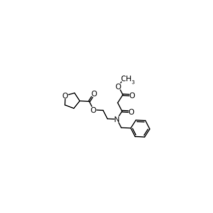 COC(=O)CC(=O)N(CCOC(=O)C1CCOC1)Cc1ccccc1